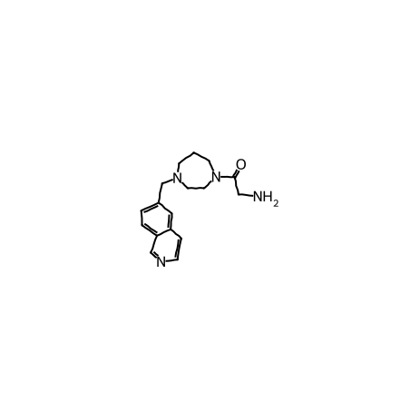 NCC(=O)N1CCCN(Cc2ccc3cnccc3c2)CC1